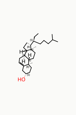 CC[C@@H](CCCC(C)C)[C@H]1CC[C@H]2[C@@H]3CC=C4C[C@@H](O)CC[C@]4(C)[C@H]3CC[C@]12C